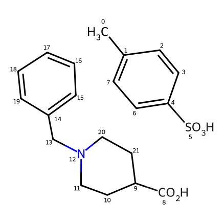 Cc1ccc(S(=O)(=O)O)cc1.O=C(O)C1CCN(Cc2ccccc2)CC1